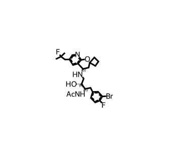 CC(=O)N[C@@H](Cc1ccc(F)c(Br)c1)[C@H](O)CN[C@H]1CC2(CCC2)Oc2ncc(CC(C)(C)F)cc21